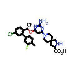 Cc1ccc(-c2cc(Cl)ccc2[C@@H](Oc2cc(N3CCC4(CC3)CNC(C(=O)O)C4)nc(N)n2)C(F)(F)F)cc1F